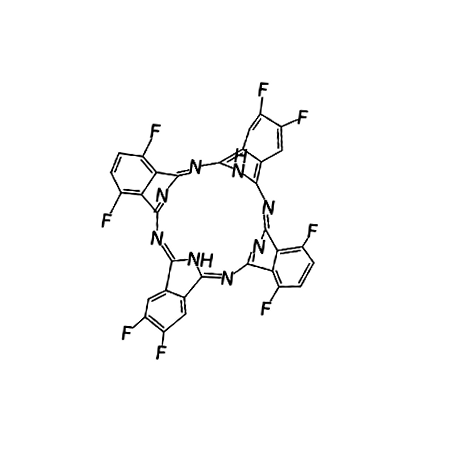 Fc1cc2c3nc4nc(nc5[nH]c(nc6nc(nc([nH]3)c2cc1F)-c1c(F)ccc(F)c1-6)c1cc(F)c(F)cc51)-c1c(F)ccc(F)c1-4